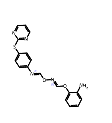 Nc1ccccc1O/C=N/O/C=N/c1ccc(Sc2ncccn2)cc1